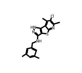 Cc1cc(C)cc(CNc2n[nH]c3c2sc2nc(C)c(Cl)c(C)c23)c1